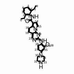 CCc1cccc(CC)c1NC(=O)c1ccn2c1ccc1cnc(Nc3ccc(N4CCNCC4)cc3OC)nc12